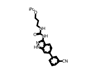 CC(C)OCCCNC(=O)Nc1n[nH]c2cc(-c3cccc(C#N)c3)ccc12